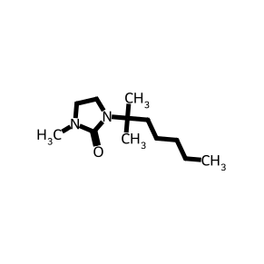 CCCCCC(C)(C)N1CCN(C)C1=O